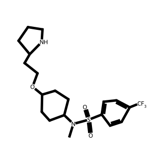 CN(C1CCC(OCCC2CCCN2)CC1)S(=O)(=O)c1ccc(C(F)(F)F)cc1